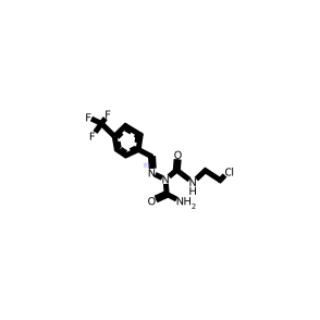 NC(=O)N(/N=C/c1ccc(C(F)(F)F)cc1)C(=O)NCCCl